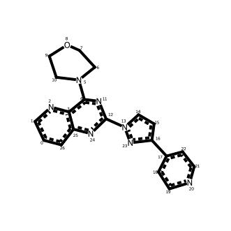 c1cnc2c(N3CCOCC3)nc(-n3ccc(-c4ccncc4)n3)nc2c1